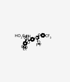 CCS(=O)(=O)c1ccc([C@H](CN(C)C(=O)O)NC(=O)c2ccc(N3C[C@@H](Oc4ccc(C(F)(F)F)cc4)C[C@H]3COC(F)F)cc2)cc1